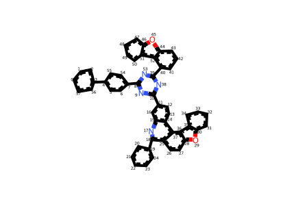 c1ccc(-c2ccc(-c3nc(-c4ccc5c(c4)nc(-c4ccccc4)c4ccc6oc7ccccc7c6c45)nc(-c4cccc5oc6ccccc6c45)n3)cc2)cc1